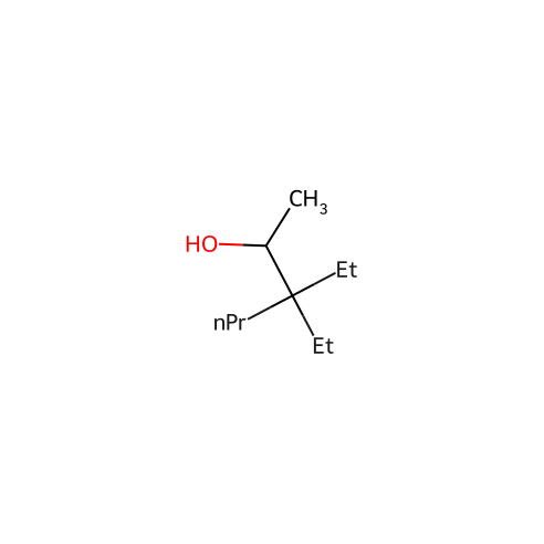 CCCC(CC)(CC)C(C)O